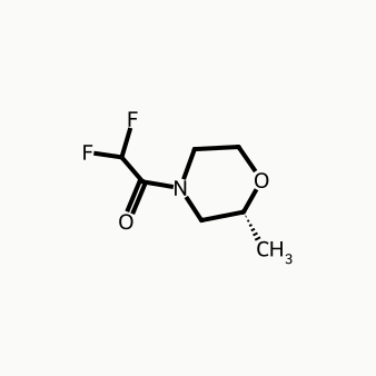 C[C@@H]1CN(C(=O)C(F)F)CCO1